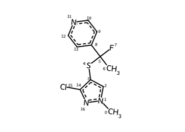 Cn1cc(SC(C)(F)c2ccncc2)c(Cl)n1